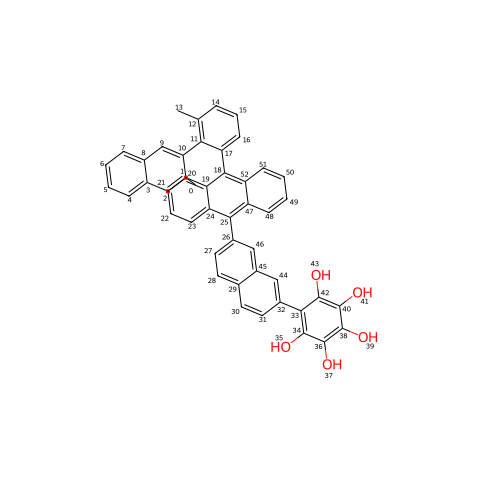 Cc1cc2ccccc2cc1-c1c(C)cccc1-c1c2ccccc2c(-c2ccc3ccc(-c4c(O)c(O)c(O)c(O)c4O)cc3c2)c2ccccc12